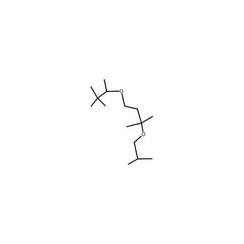 CC(C)COC(C)(C)CCOC(C)C(C)(C)C